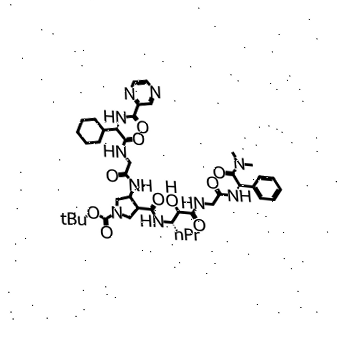 CCC[C@H](NC(=O)C1CN(C(=O)OC(C)(C)C)CC1NC(=O)CNC(=O)[C@@H](NC(=O)c1cnccn1)C1CCCCC1)C(O)C(=O)NCC(=O)N[C@H](C(=O)N(C)C)c1ccccc1